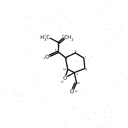 C=C(C)C(=O)C1CCCC2(C=O)OC12